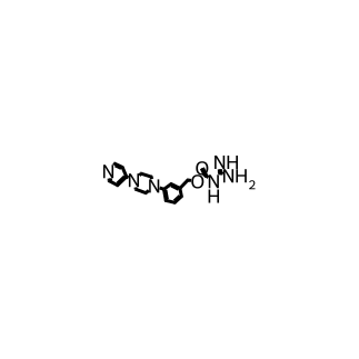 N=C(N)NC(=O)OCc1cccc(N2CCN(c3ccncc3)CC2)c1